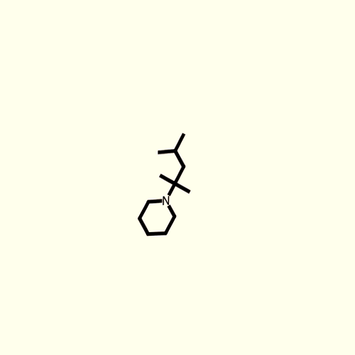 CC(C)CC(C)(C)N1CCCCC1